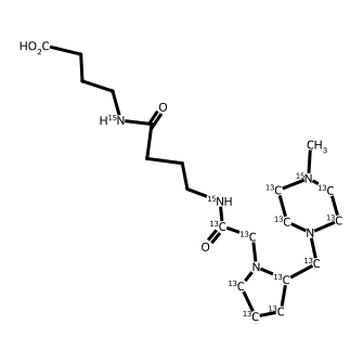 C[15N]1[13CH2][13CH2]N([13CH2][13CH]2[13CH2][13CH2][13CH2]N2[13CH2][13C](=O)[15NH]CCCC(=O)[15NH]CCCC(=O)O)[13CH2][13CH2]1